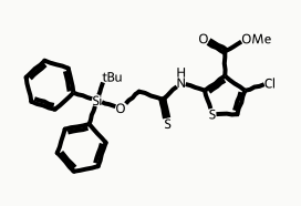 COC(=O)c1c(Cl)csc1NC(=S)CO[Si](c1ccccc1)(c1ccccc1)C(C)(C)C